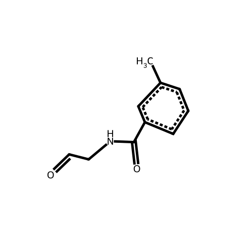 Cc1cccc(C(=O)NCC=O)c1